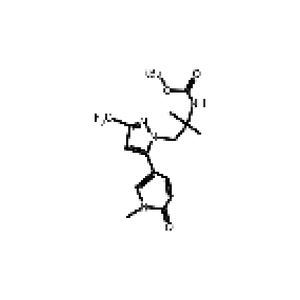 Cn1cc(-c2cc(C(F)(F)F)nn2CC(C)(C)NC(=O)OC(C)(C)C)ccc1=O